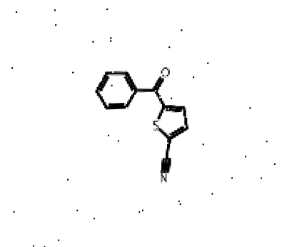 N#Cc1ccc(C(=O)c2ccccc2)s1